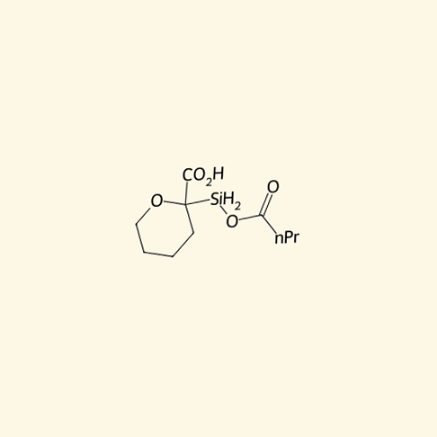 CCCC(=O)O[SiH2]C1(C(=O)O)CCCCO1